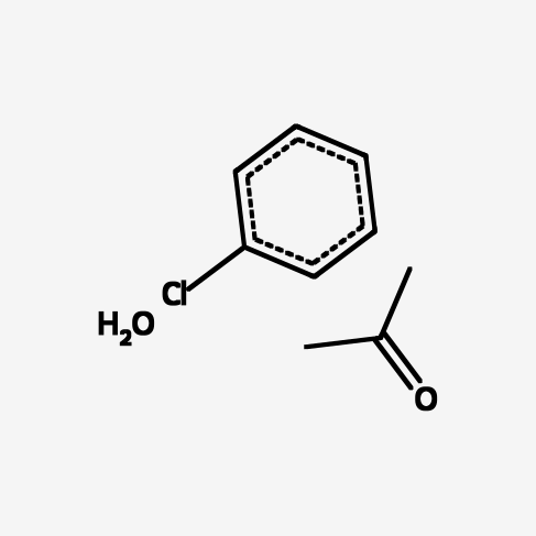 CC(C)=O.Clc1ccccc1.O